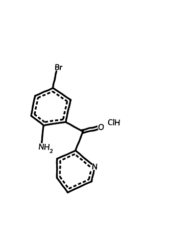 Cl.Nc1ccc(Br)cc1C(=O)c1ccccn1